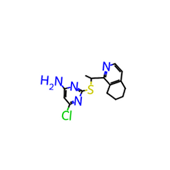 CC(Sc1nc(N)cc(Cl)n1)c1nccc2c1CCCC2